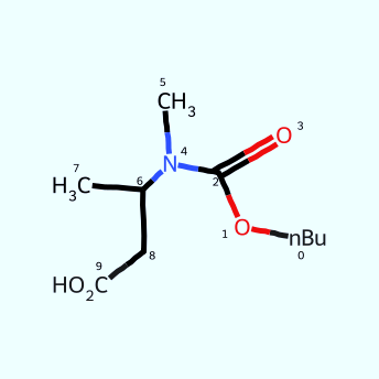 CCCCOC(=O)N(C)C(C)CC(=O)O